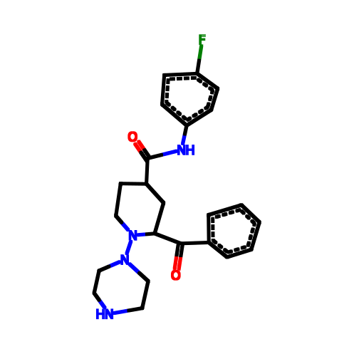 O=C(Nc1ccc(F)cc1)C1CCN(N2CCNCC2)C(C(=O)c2ccccc2)C1